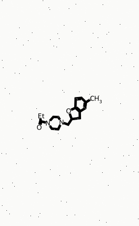 CCC(=O)N1CCN(CC2Cc3cc(C)ccc3O2)CC1